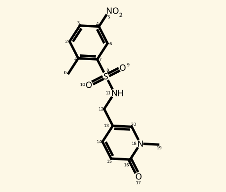 Cc1ccc([N+](=O)[O-])cc1S(=O)(=O)NCc1ccc(=O)n(C)c1